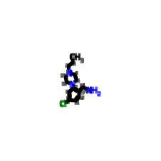 C[CH]CN1CCN(c2cc(Cl)ccc2CN)CC1